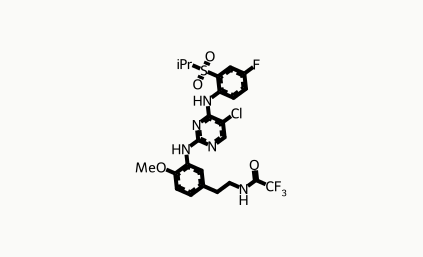 COc1ccc(CCNC(=O)C(F)(F)F)cc1Nc1ncc(Cl)c(Nc2ccc(F)cc2S(=O)(=O)C(C)C)n1